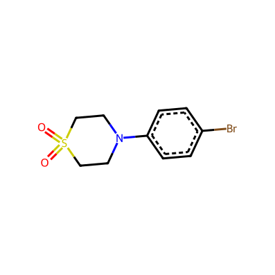 O=S1(=O)CCN(c2ccc(Br)cc2)CC1